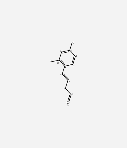 Cc1ccc(C=CCC=O)c(C)c1